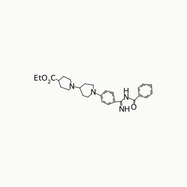 CCOC(=O)C1CCN(C2CCN(c3ccc(C(=N)NC(=O)c4ccccc4)cc3)CC2)CC1